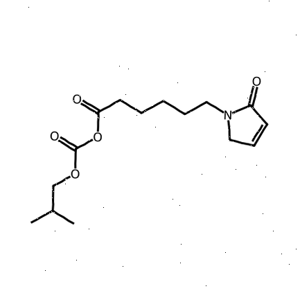 CC(C)COC(=O)OC(=O)CCCCCN1CC=CC1=O